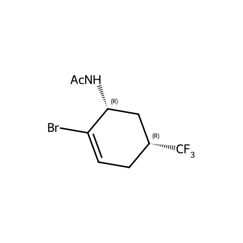 CC(=O)N[C@@H]1C[C@H](C(F)(F)F)CC=C1Br